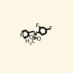 CS(=O)(=O)N(Cc1ccncc1)c1ccc(F)cc1F